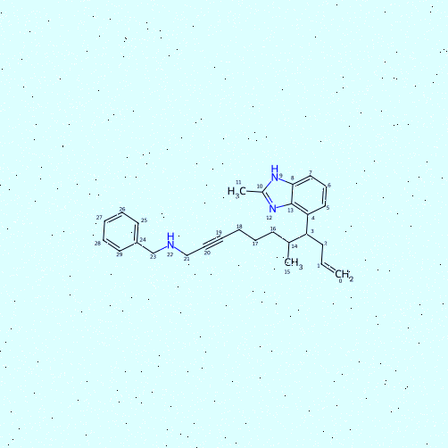 C=CCC(c1cccc2[nH]c(C)nc12)C(C)CCCC#CCNCc1ccccc1